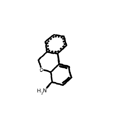 NC1C=CC=C2c3ccccc3COC21